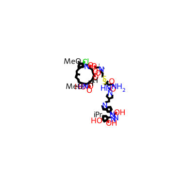 COc1cc2cc(c1Cl)N(C)C(=O)C[C@H](OC(=O)[C@H](C)N(C)C(=O)CCSSC(C)(C)[C@H](NC(=O)N1CCC(CCn3ccc4cc(-n5c(O)nnc5-c5cc(C(C)C)c(O)cc5O)ccc43)CC1)C(N)=O)[C@]1(C)O[C@H]1[C@H](C)[C@@H]1C[C@@](O)(NC(=O)O1)[C@H](OC)/C=C/C=C(\C)C2